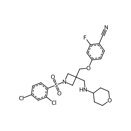 N#Cc1ccc(OCC2(CNC3CCOCC3)CN(S(=O)(=O)c3ccc(Cl)cc3Cl)C2)cc1F